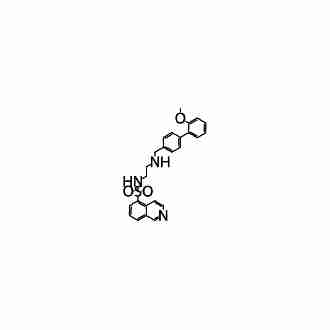 COc1ccccc1-c1ccc(CNCCNS(=O)(=O)c2cccc3cnccc23)cc1